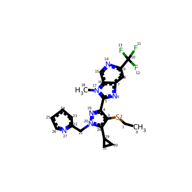 CCSc1c(-c2nc3cc(C(F)(F)F)ncc3n2C)nn(Cc2ccccn2)c1C1CC1